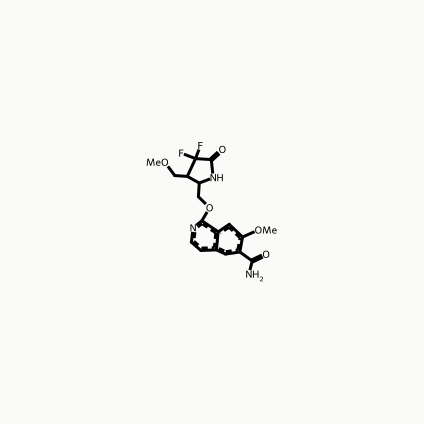 COCC1C(COc2nccc3cc(C(N)=O)c(OC)cc23)NC(=O)C1(F)F